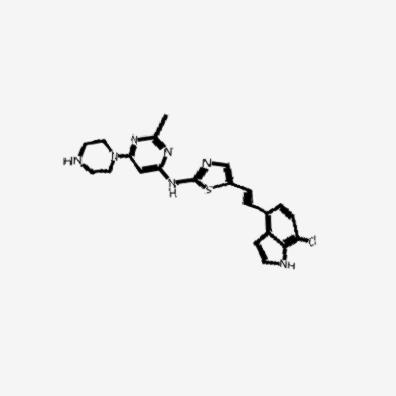 Cc1nc(Nc2ncc(C=Cc3ccc(Cl)c4[nH]ccc34)s2)cc(N2CCNCC2)n1